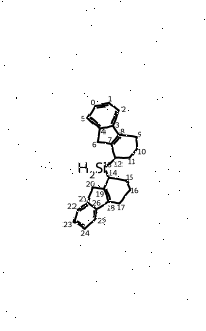 c1ccc2c(c1)CC1=C2CCCC1[SiH2]C1CCCC2=C1Cc1ccccc12